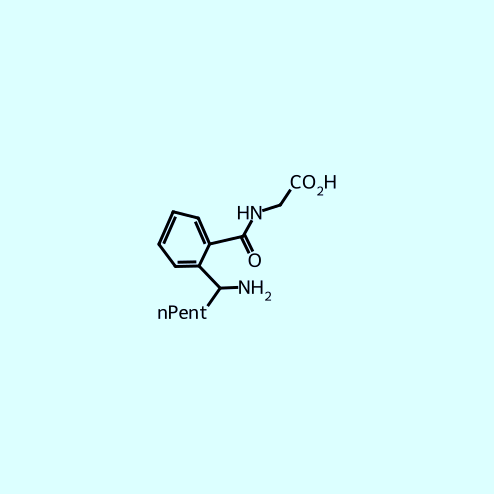 CCCCCC(N)c1ccccc1C(=O)NCC(=O)O